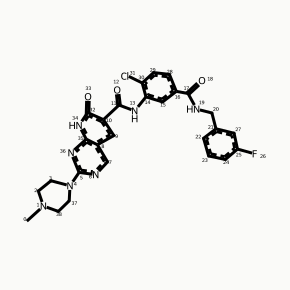 CN1CCN(c2ncc3cc(C(=O)Nc4cc(C(=O)NCc5cccc(F)c5)ccc4Cl)c(=O)[nH]c3n2)CC1